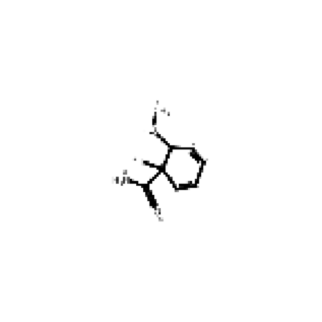 COC1C=CC=CC1(I)C(N)=O